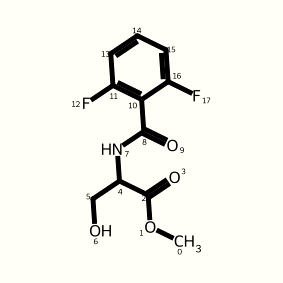 COC(=O)C(CO)NC(=O)c1c(F)cccc1F